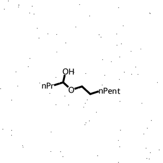 CCCCCCCOC(O)CCC